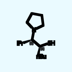 CCCC[C@@H](S)[C@H](C(C)C)N1CCCC1